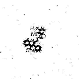 CNC(=O)c1c(-c2ccccc2)c(CCNc2ncnc(N)c2C#N)nc2ccccc12